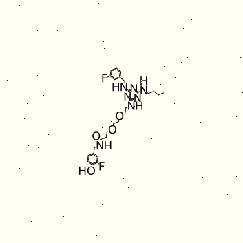 CCCCNc1nc(NCCOCCOCCC(=O)NCc2ccc(O)c(F)c2)nc(NCc2cccc(F)c2)n1